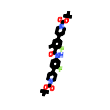 Cc1cc(C2=CCN(C(=O)OC(C)(C)C)CC2)cc(F)c1C(=O)Nc1ccc(C2=CCN(C(=O)OC(C)(C)C)CC2)c(F)c1